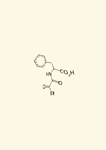 CCC(=O)C(=O)NC(Cc1ccccc1)C(=O)O